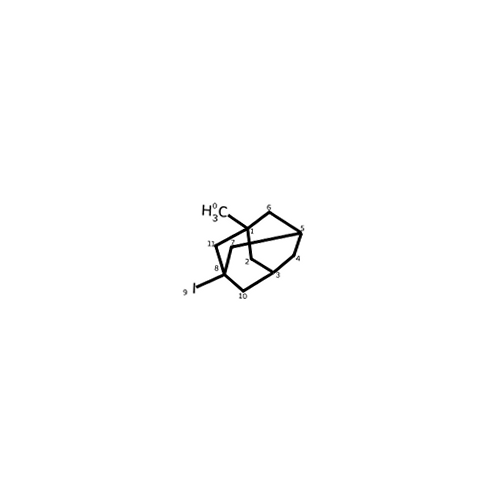 CC12CC3CC(C1)CC(I)(C3)C2